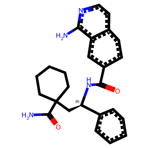 NC(=O)C1(C[C@@H](NC(=O)c2ccc3ccnc(N)c3c2)c2ccccc2)CCCCC1